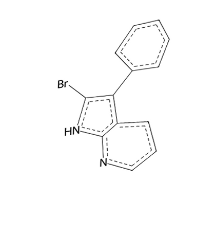 Brc1[nH]c2ncccc2c1-c1ccccc1